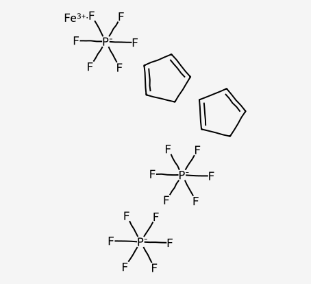 C1=CCC=C1.C1=CCC=C1.F[P-](F)(F)(F)(F)F.F[P-](F)(F)(F)(F)F.F[P-](F)(F)(F)(F)F.[Fe+3]